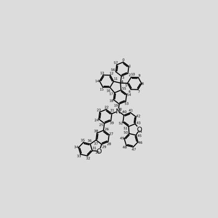 c1ccc(C2(c3ccccc3)c3ccccc3-c3cc(N(c4cccc(-c5ccc6oc7ccccc7c6c5)c4)c4ccc5oc6ccccc6c5c4)ccc32)cc1